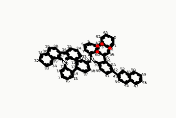 c1ccc(-c2cccc(N(c3ccc(-c4ccccc4-n4c5ccccc5c5ccc6ccccc6c54)cc3)c3ccc(-c4ccc5ccccc5c4)cc3-c3ccccc3)c2)cc1